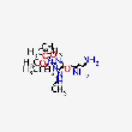 CCCCNc1nc(N(C(=O)OC(C)(C)C)C(=O)OC(C)(C)C)ncc1OC/C(N)=C/C=C\N